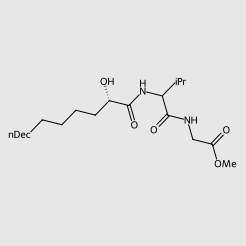 CCCCCCCCCCCCCC[C@H](O)C(=O)NC(C(=O)NCC(=O)OC)C(C)C